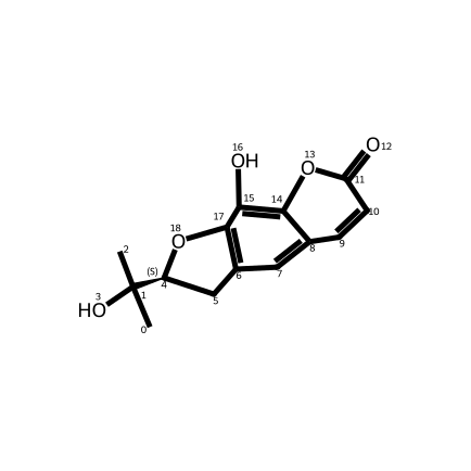 CC(C)(O)[C@@H]1Cc2cc3ccc(=O)oc3c(O)c2O1